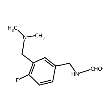 CN(C)Cc1cc(CN[C]=O)ccc1F